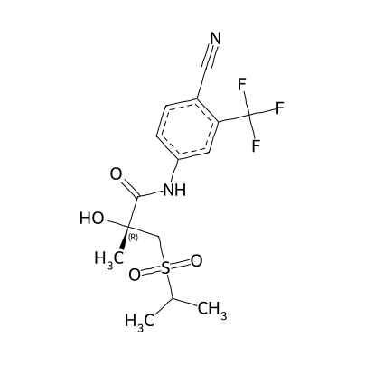 CC(C)S(=O)(=O)C[C@](C)(O)C(=O)Nc1ccc(C#N)c(C(F)(F)F)c1